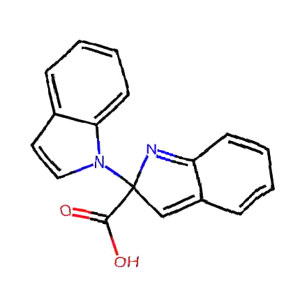 O=C(O)C1(n2ccc3ccccc32)C=c2ccccc2=N1